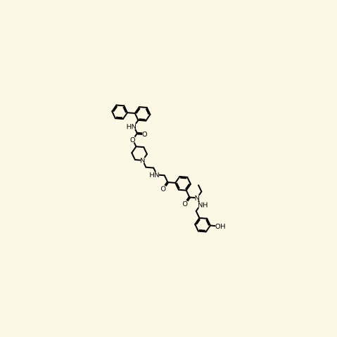 CCN(NCc1cccc(O)c1)C(=O)c1cccc(C(=O)CNCCN2CCC(OC(=O)Nc3ccccc3-c3ccccc3)CC2)c1